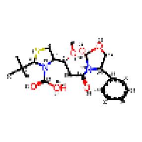 CO[C@@H](C1CSC(C(C)(C)C)N1C(=O)O)[C@@H](C)C(=O)N1C(=O)OCC1c1ccccc1